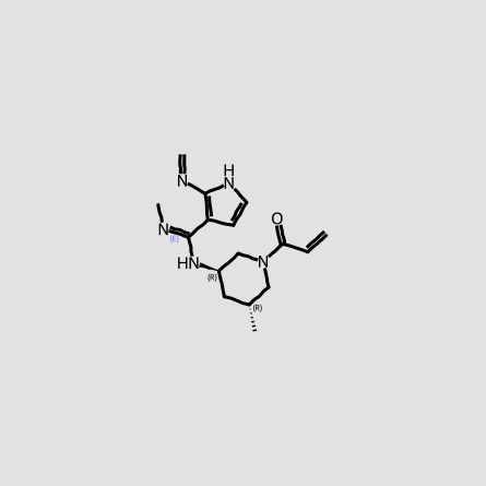 C=CC(=O)N1C[C@H](C)C[C@@H](N/C(=N/C)c2cc[nH]c2N=C)C1